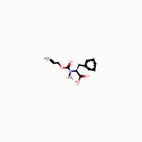 C=CCOC(=O)N(C)[C@@H](Cc1ccccc1)C(=O)O